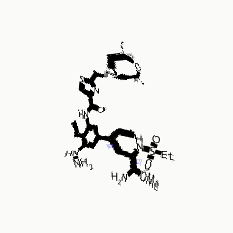 C=C/C(=C\C(NS(=O)(=O)CC)=C(/N)OC)c1cc(NN)c(C=C)c(NC(=O)c2csc(CN3C[C@@H](C)O[C@@H](C)C3)n2)c1